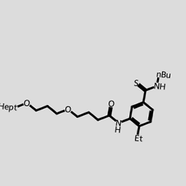 CCCCCCCOCCCOCCCC(=O)Nc1cc(C(=S)NCCCC)ccc1CC